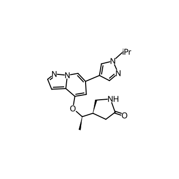 CC(C)n1cc(-c2cc(O[C@H](C)[C@H]3CNC(=O)C3)c3ccnn3c2)cn1